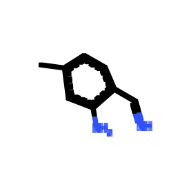 Cc1ccc(C=N)c(N)c1